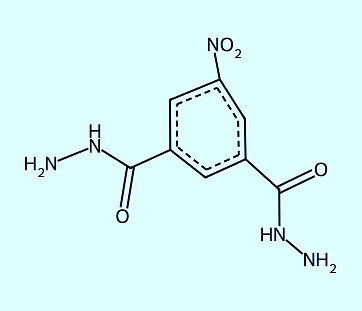 NNC(=O)c1cc(C(=O)NN)cc([N+](=O)[O-])c1